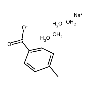 Cc1ccc(S(=O)[O-])cc1.O.O.O.O.[Na+]